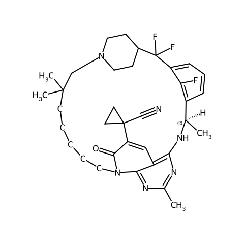 Cc1nc2c3cc(C4(C#N)CC4)c(=O)n(c3n1)CCCCCC(C)(C)CN1CCC(CC1)C(F)(F)c1cccc(c1F)[C@@H](C)N2